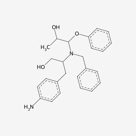 CC(O)C(Oc1ccccc1)N(Cc1ccccc1)C(CO)Cc1ccc(N)cc1